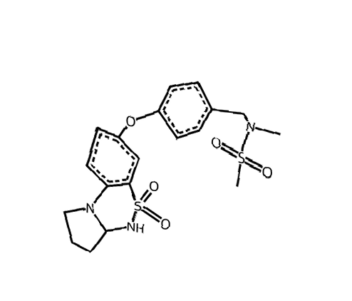 CN(Cc1ccc(Oc2ccc3c(c2)S(=O)(=O)NC2CCCN32)cc1)S(C)(=O)=O